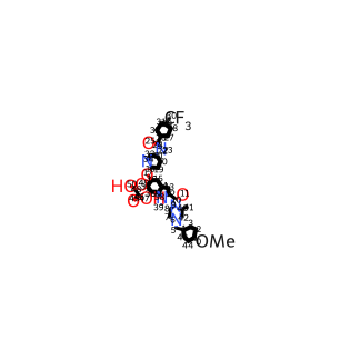 COc1ccc(CN2CCN(C(=O)c3cc4cc(Oc5ccc(N(C)C(=O)c6ccc(C(F)(F)F)cc6)cn5)ccc4n3C)C(C)C2)cc1.O=C(O)C(=O)O